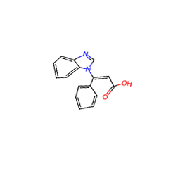 O=C(O)/C=C(\c1ccccc1)n1cnc2ccccc21